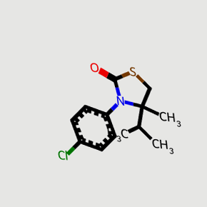 CC(C)C1(C)CSC(=O)N1c1ccc(Cl)cc1